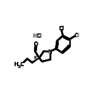 CCC[C@]1(C=O)CCN(c2ccc(Cl)c(Cl)c2)C1.Cl